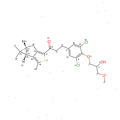 COCC(O)COc1c(Cl)cc(CCC(=O)c2sc(C)c3c2C[C@@H]2[C@H]3C2(C)C)cc1Cl